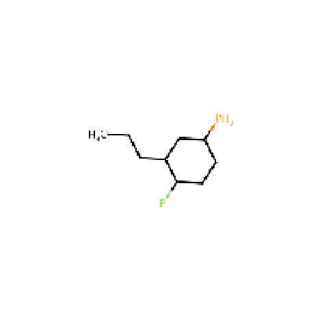 CCCC1CC(P)CCC1F